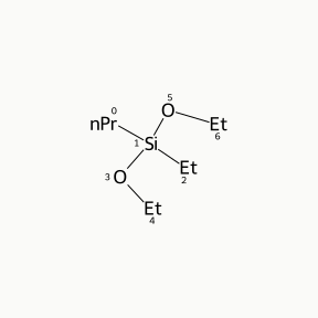 CCC[Si](CC)(OCC)OCC